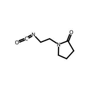 O=C=NCCN1CCCC1=O